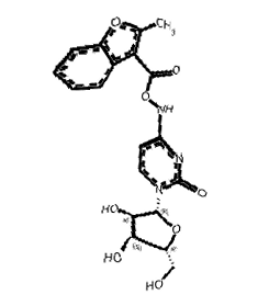 Cc1oc2ccccc2c1C(=O)ONc1ccn([C@@H]2O[C@H](CO)[C@@H](O)[C@H]2O)c(=O)n1